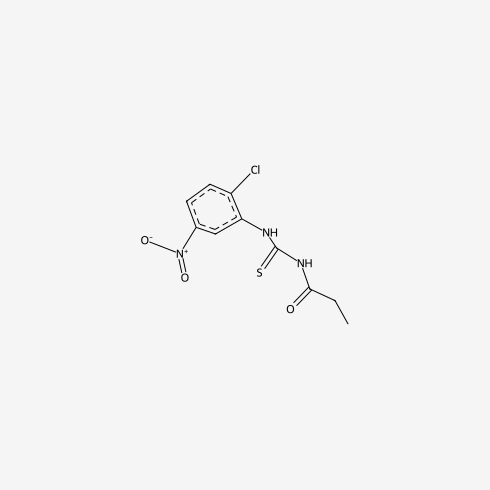 CCC(=O)NC(=S)Nc1cc([N+](=O)[O-])ccc1Cl